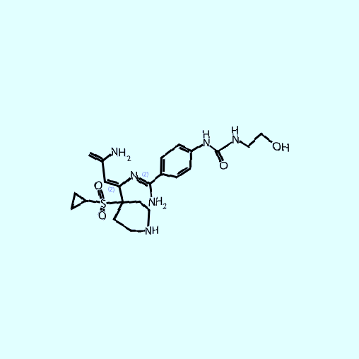 C=C(N)/C=C(\N=C(/N)c1ccc(NC(=O)NCCO)cc1)C1(S(=O)(=O)C2CC2)CCNCC1